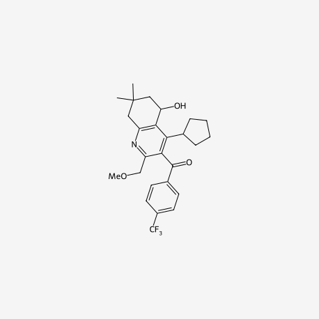 COCc1nc2c(c(C3CCCC3)c1C(=O)c1ccc(C(F)(F)F)cc1)C(O)CC(C)(C)C2